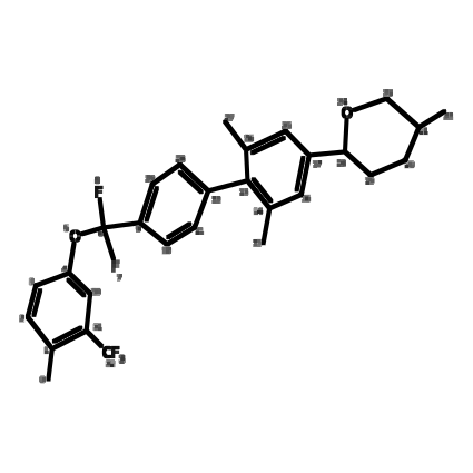 Cc1ccc(OC(F)(F)c2ccc(-c3c(C)cc(C4CCC(C)CO4)cc3C)cc2)cc1C(F)(F)F